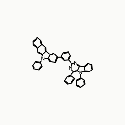 c1ccc(-c2nc(-c3cccc(-c4ccc5c(c4)c4cc6ccccc6cc4n5-c4ccccc4)c3)nc3c4ccccc4n(-c4ccccc4)c23)cc1